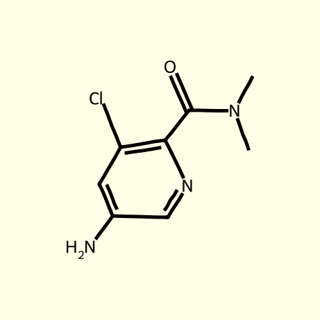 CN(C)C(=O)c1ncc(N)cc1Cl